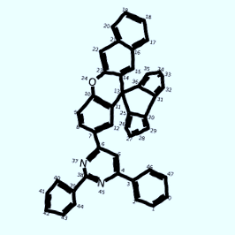 c1ccc(-c2cc(-c3ccc4c(c3)C3(c5cc6ccccc6cc5O4)c4ccccc4-c4ccccc43)nc(-c3ccccc3)n2)cc1